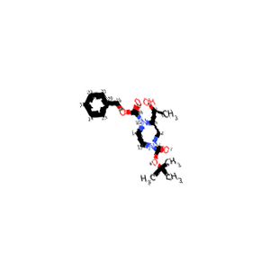 C[C@H](O)[C@H]1CN(C(=O)OC(C)(C)C)CCN1C(=O)OCc1ccccc1